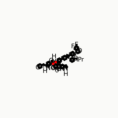 CC(C)Oc1ccccc1[C@H]1CN([C@H]2CCOc3cc(F)c(F)cc32)CCN1C1CC2(CCN(c3ccc(C(=O)NS(=O)(=O)c4ccc(NCC5CCOCC5)c([N+](=O)[O-])c4)c(N4c5cc6cc[nH]c6nc5O[C@H]5COCC[C@@H]54)c3)CC2)C1